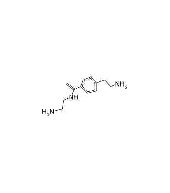 C=C(NCCN)c1ccc(CCN)cc1